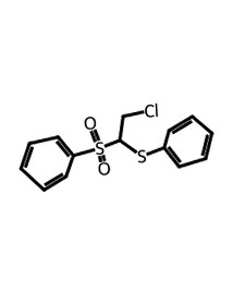 O=S(=O)(c1ccccc1)C(CCl)Sc1ccccc1